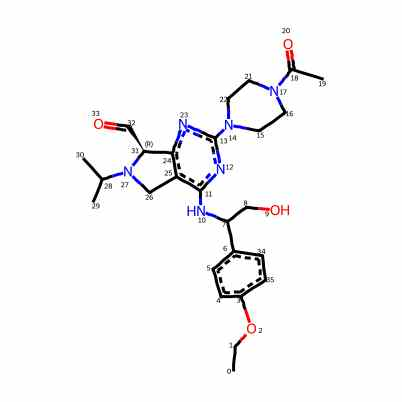 CCOc1ccc(C(CO)Nc2nc(N3CCN(C(C)=O)CC3)nc3c2CN(C(C)C)[C@H]3C=O)cc1